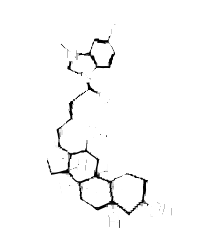 C[C@H](CCC(=O)N1CN(C)c2cc(F)ccc21)[C@H]1CC[C@H]2[C@@H]3CC[C@@H]4C[C@H](O)CC[C@]4(C)[C@H]3C[C@H](O)[C@]12C